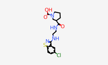 O=C(NCCNc1nsc2ccc(Cl)cc12)C1CCCN(C(=O)O)C1